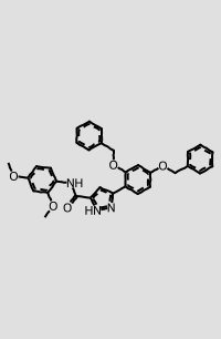 COc1ccc(NC(=O)c2cc(-c3ccc(OCc4ccccc4)cc3OCc3ccccc3)n[nH]2)c(OC)c1